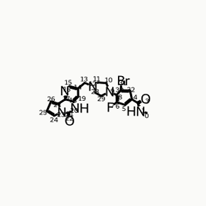 CNC(=O)c1cc(F)c(N2CCN(Cc3cnc4c(c3)[nH]c(=O)n3cccc43)CC2)c(Br)c1